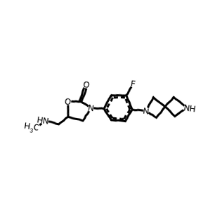 CNCC1CN(c2ccc(N3CC4(CNC4)C3)c(F)c2)C(=O)O1